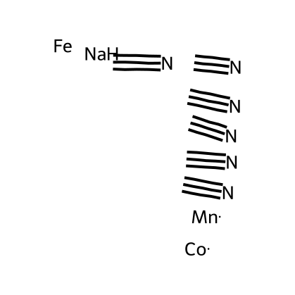 C#N.C#N.C#N.C#N.C#N.C#N.[Co].[Fe].[Mn].[NaH]